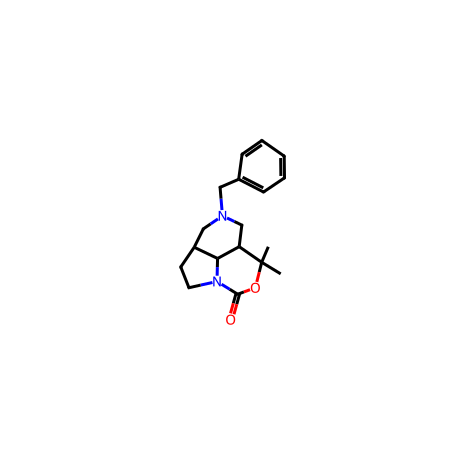 CC1(C)OC(=O)N2CCC3CN(Cc4ccccc4)CC1C32